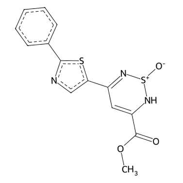 COC(=O)C1=CC(c2cnc(-c3ccccc3)s2)=N[S+]([O-])N1